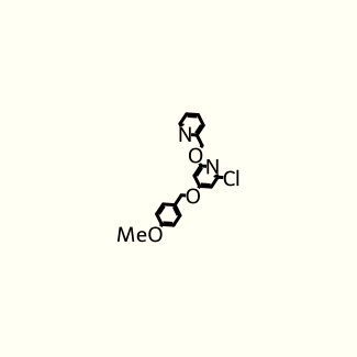 COc1ccc(COc2cc(Cl)nc(OCc3ccccn3)c2)cc1